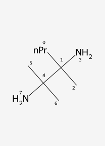 CCCC(C)(N)C(C)(C)N